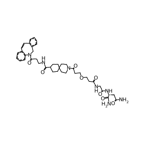 NC(=O)C[C@H](NC(=O)CNC(=O)CCOCCC(=O)N1CCC2(CCC(C(=O)NCCC(=O)N3Cc4ccccc4/C=C\c4ccccc43)CC2)CC1)C(N)=O